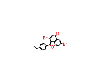 CCc1ccc(-c2oc3cc(Br)cc4c3c2C(Br)=CC4=O)cc1